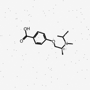 CC(C)N(C)[C@@H](C)COc1ccc(C(=O)O)cc1